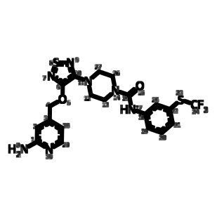 Nc1cc(COc2nsnc2N2CCN(C(=O)Nc3cccc(SC(F)(F)F)c3)CC2)ccn1